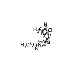 CCCOC(=O)N1CCN(C(=O)c2ccc3c(Cl)c(C#N)c(C)nc3c2)CC1